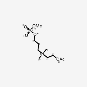 COS(=O)(=O)OCCC[N+](C)(C)CCOC(C)=O